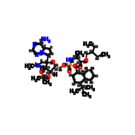 C=NC[C@@]1(c2ccc3c(N)ncnn23)O[C@H](COP(=O)(N[C@@H](C)C(=O)OCC(CC)CC)Oc2ccc(C(C)(C)C)c3ccccc23)[C@H]2OC(C)(C)O[C@H]21